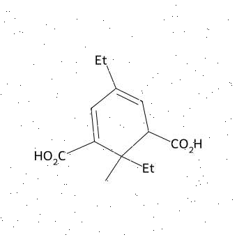 CCC1=CC(C(=O)O)C(C)(CC)C(C(=O)O)=C1